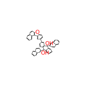 OC1(c2ccc3ccccc3c2)c2ccccc2C(O)(c2ccc3ccccc3c2)c2cc(-c3ccc4oc5ccc6ccccc6c5c4c3)ccc21